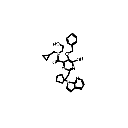 O=C(c1nc(CC2(n3ccc4cccnc43)CCCC2)nc(O)c1OCc1ccccc1)N(CCO)CC1CC1